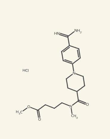 COC(=O)CCCN(C)C(=O)C1CCN(c2ccc(C(=N)N)cc2)CC1.Cl